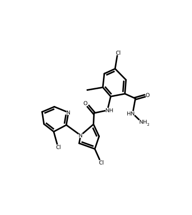 Cc1cc(Cl)cc(C(=O)NN)c1NC(=O)c1cc(Cl)cn1-c1ncccc1Cl